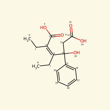 CCC(C(=O)O)=C(CC)C(O)(CC(=O)O)c1ccccc1